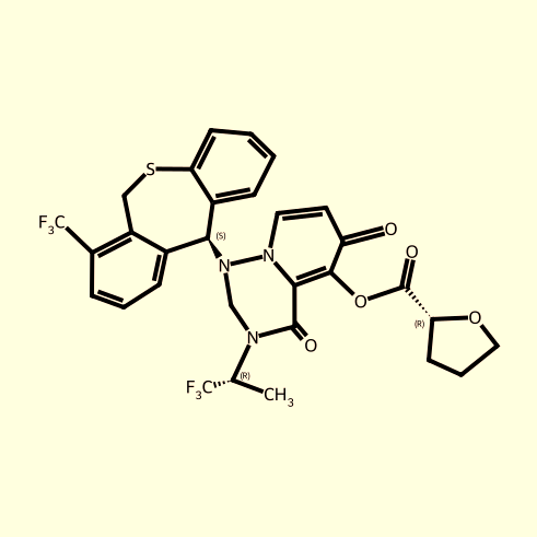 C[C@@H](N1CN([C@@H]2c3ccccc3SCc3c2cccc3C(F)(F)F)n2ccc(=O)c(OC(=O)[C@H]3CCCO3)c2C1=O)C(F)(F)F